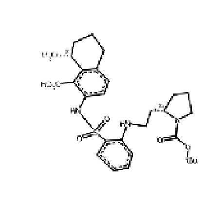 C[C@@H]1CCCc2ccc(NS(=O)(=O)c3ccccc3NCC[C@@H]3CCCN3C(=O)OC(C)(C)C)c(C(=O)O)c21